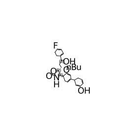 CCCCOC1=CC(C2C=C(O)C=CC2)=CCC1[C@H]1NC(=O)O[C@@H]1CC[C@H](O)C1=CC=C(F)CC1